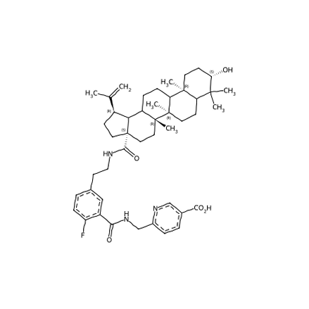 C=C(C)[C@@H]1CC[C@]2(C(=O)NCCc3ccc(F)c(C(=O)NCc4ccc(C(=O)O)cn4)c3)CC[C@]3(C)C(CCC4[C@@]5(C)CC[C@H](O)C(C)(C)C5CC[C@]43C)C12